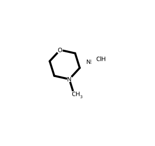 CN1CCOCC1.Cl.[N]